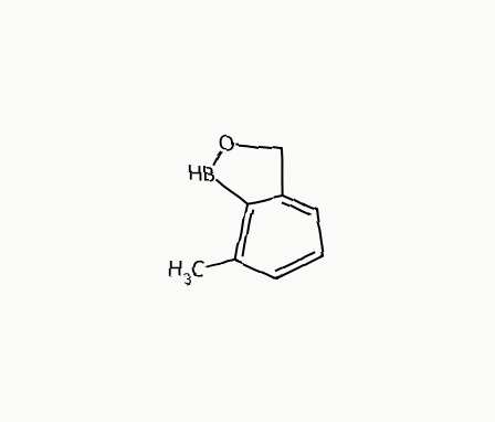 Cc1cccc2c1BOC2